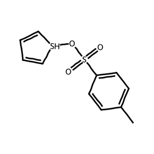 Cc1ccc(S(=O)(=O)O[SH]2C=CC=C2)cc1